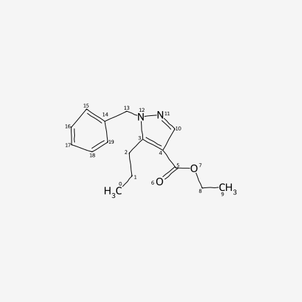 CCCc1c(C(=O)OCC)cnn1Cc1ccccc1